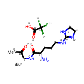 CC[C@H](C)[C@H](NC(=O)[C@@H](N)CCCNC1=NCCN1)C(=O)NC.O=C(O)C(F)(F)F